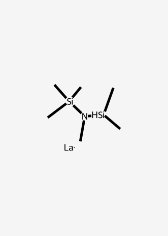 CN([SiH](C)C)[Si](C)(C)C.[La]